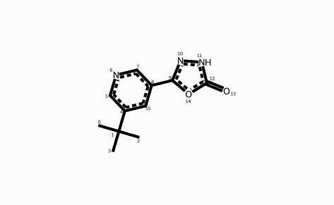 CC(C)(C)c1cncc(-c2n[nH]c(=O)o2)c1